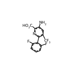 Nc1cc(C(F)(F)F)c(-c2c(F)cccc2F)nc1C(=O)O